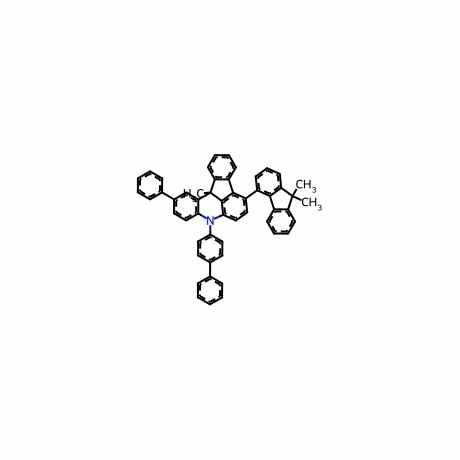 CC1(C)c2ccccc2-c2c(-c3ccc4c5c3-c3ccccc3C5(C)c3cc(-c5ccccc5)ccc3N4c3ccc(-c4ccccc4)cc3)cccc21